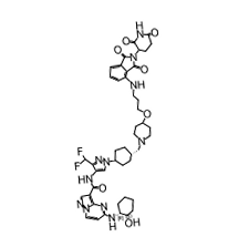 O=C1CCC(N2C(=O)c3cccc(NCCCOC4CCN(C[C@H]5CC[C@H](n6cc(NC(=O)c7cnn8ccc(N[C@@H]9CCCC[C@@H]9O)nc78)c(C(F)F)n6)CC5)CC4)c3C2=O)C(=O)N1